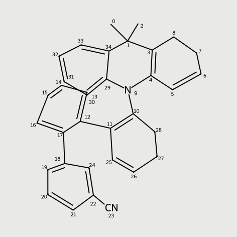 CC1(C)C2=C(C=CCC2)N(C2=C(c3ccccc3-c3cccc(C#N)c3)C=CCC2)c2ccccc21